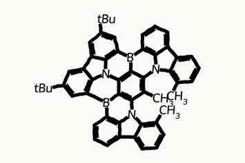 Cc1c2c3c4c5c1-n1c6c(C)cccc6c6cccc(c61)B5c1cc(C(C)(C)C)cc5c6cc(C(C)(C)C)cc(c6n-4c15)B3c1cccc3c4cccc(C)c4n-2c13